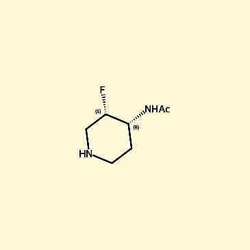 CC(=O)N[C@@H]1CCNC[C@@H]1F